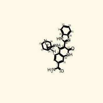 NC(=O)c1ccc2c(N[C@H]3CN4CCC3CC4)c(-c3nc4ccccc4[nH]3)c(=O)[nH]c2c1